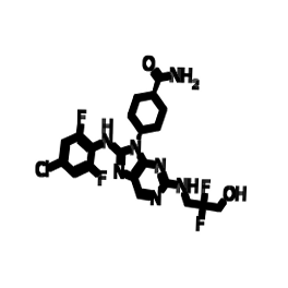 NC(=O)[C@H]1CC[C@H](n2c(Nc3c(F)cc(Cl)cc3F)nc3cnc(NCC(F)(F)CO)nc32)CC1